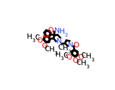 COc1ccc(C2CN(C(C)C3CCN(C(=O)c4cc(OC)c(OC)c(OC)c4)C3)CCC2(C(N)=O)c2ccccc2)cc1OC